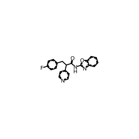 O=C(Nc1nc2ccccc2o1)C(Cc1ccc(F)cc1)c1ccncc1